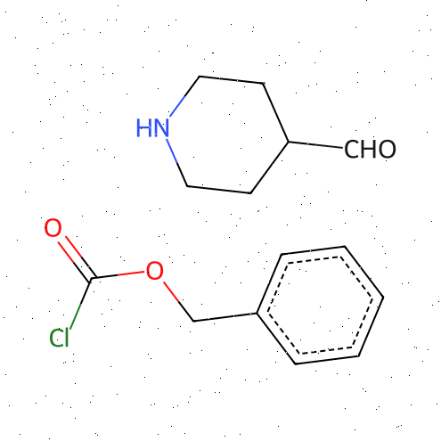 O=C(Cl)OCc1ccccc1.O=CC1CCNCC1